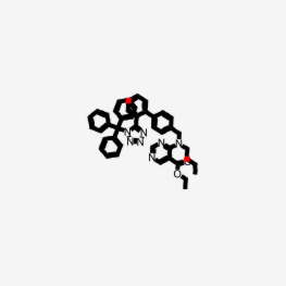 CCCCN(Cc1ccc(-c2ccccc2-c2nnnn2C(c2ccccc2)(c2ccccc2)c2ccccc2)cc1)c1ncncc1C(=O)OCC